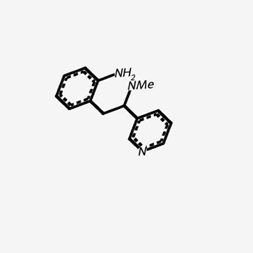 CNC(Cc1ccccc1N)c1cccnc1